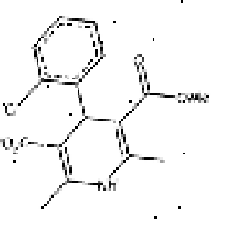 COC(=O)C1=C(C)NC(C)=C(C(=O)O)C1c1ccccc1Cl